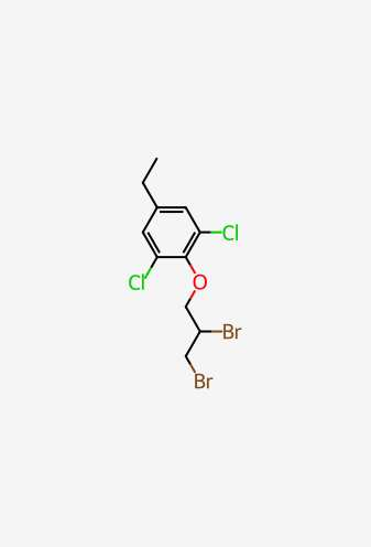 CCc1cc(Cl)c(OCC(Br)CBr)c(Cl)c1